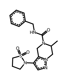 CC1Cn2ncc(N3CCCS3(=O)=O)c2CN1C(=O)NCc1ccccc1